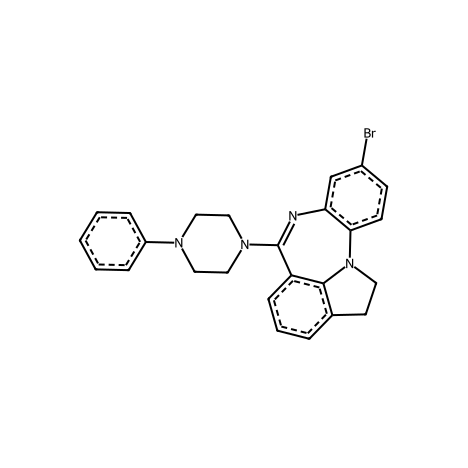 Brc1ccc2c(c1)N=C(N1CCN(c3ccccc3)CC1)c1cccc3c1N2CC3